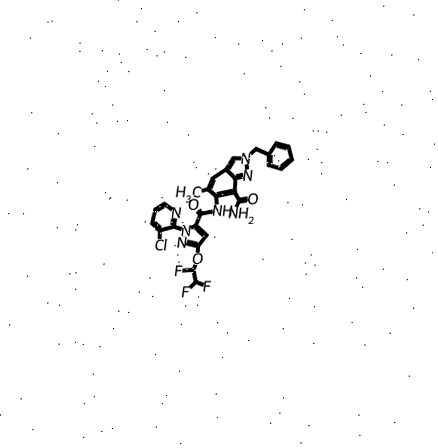 Cc1cc2cn(Cc3ccccc3)nc2c(C(N)=O)c1NC(=O)c1cc(OC(F)C(F)F)nn1-c1ncccc1Cl